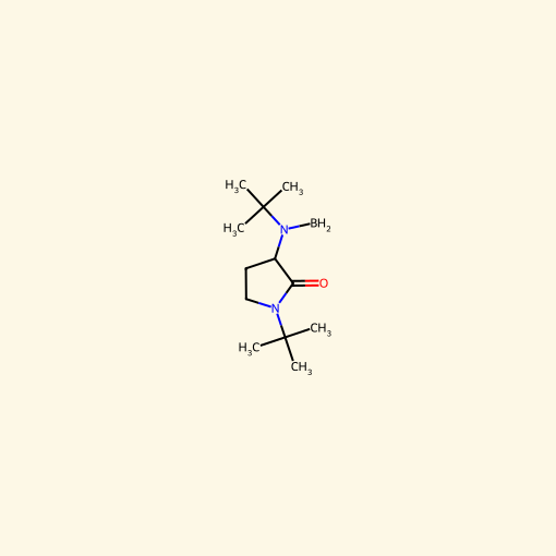 BN(C1CCN(C(C)(C)C)C1=O)C(C)(C)C